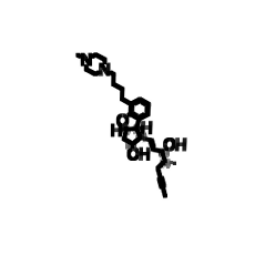 CC#CC[C@@H](C)[C@H](O)C=C[C@@H]1[C@H]2c3cccc(CCCCN4CCN(C)CC4)c3O[C@H]2C[C@H]1O